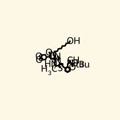 C[C@@H](Nc1ncnc2c1cc(C1CCS(=O)(=O)CC1)c(=O)n2CCCCCCCCO)c1ccc(-c2ccccc2CN(C)C(=O)OC(C)(C)C)s1